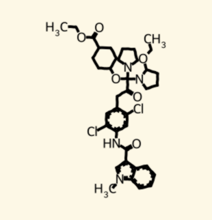 CCOC(=O)C1CCC(OC(C(=O)Cc2cc(Cl)c(NC(=O)c3cn(C)c4ccccc34)cc2Cl)(N2CCCC2)N2CCCC2OCC)CC1